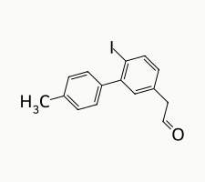 Cc1ccc(-c2cc(CC=O)ccc2I)cc1